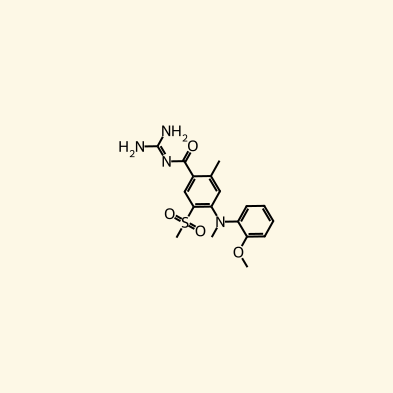 COc1ccccc1N(C)c1cc(C)c(C(=O)N=C(N)N)cc1S(C)(=O)=O